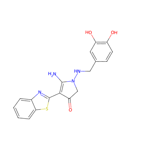 NC1=C(c2nc3ccccc3s2)C(=O)CN1NCc1ccc(O)c(O)c1